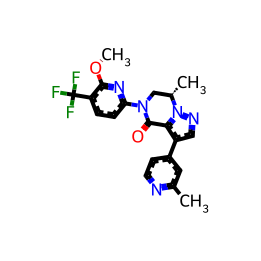 COc1nc(N2C[C@H](C)n3ncc(-c4ccnc(C)c4)c3C2=O)ccc1C(F)(F)F